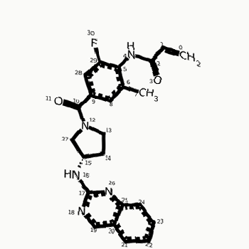 C=CC(=O)Nc1c(C)cc(C(=O)N2CC[C@H](Nc3ncc4ccccc4n3)C2)cc1F